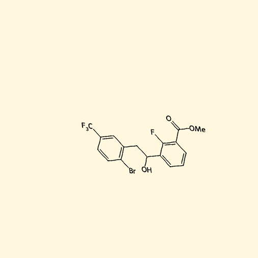 COC(=O)c1cccc(C(O)Cc2cc(C(F)(F)F)ccc2Br)c1F